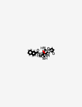 N=C1N[C@H]2[C@H](CN3C(=O)CCC3=O)NC(=N)N3C[C@H](NC(=O)c4ccc5c(c4)CCCC5)C(O)(O)[C@]23N1